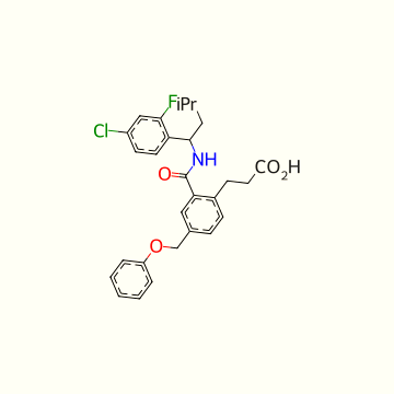 CC(C)CC(NC(=O)c1cc(COc2ccccc2)ccc1CCC(=O)O)c1ccc(Cl)cc1F